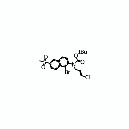 CC(C)(C)OC(=O)N(CC=CCl)c1ccc2cc(S(C)(=O)=O)ccc2c1Br